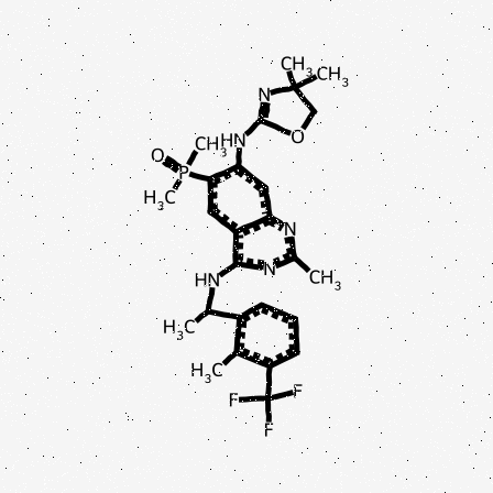 Cc1nc(NC(C)c2cccc(C(F)(F)F)c2C)c2cc(P(C)(C)=O)c(NC3=NC(C)(C)CO3)cc2n1